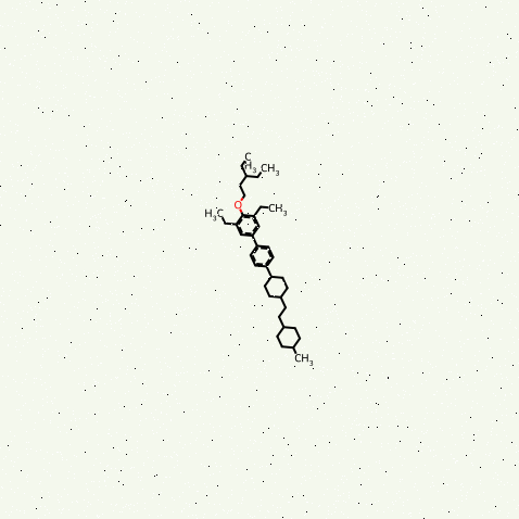 CCc1cc(-c2ccc(C3CCC(CCC4CCC(C)CC4)CC3)cc2)cc(CC)c1OCCC(CC)CC